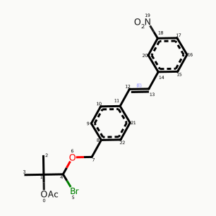 CC(=O)OC(C)(C)C(Br)OCc1ccc(/C=C/c2cccc([N+](=O)[O-])c2)cc1